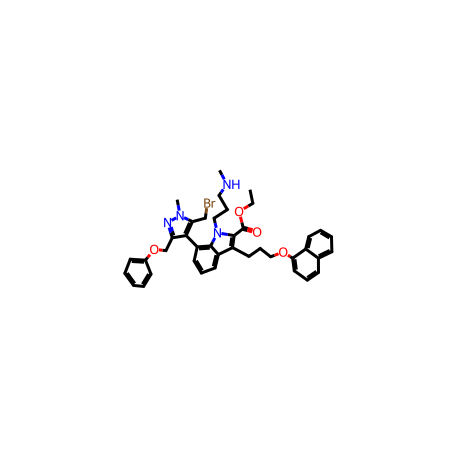 CCOC(=O)c1c(CCCOc2cccc3ccccc23)c2cccc(-c3c(COc4ccccc4)nn(C)c3CBr)c2n1CCCNC